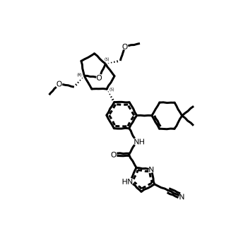 COC[C@@]12CC[C@@](COC)(C[C@H](c3ccc(NC(=O)c4nc(C#N)c[nH]4)c(C4=CCC(C)(C)CC4)c3)C1)O2